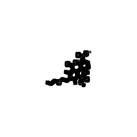 CCCOCCN1C(C)=C(C(=O)O)C(c2cccc([N+](=O)[O-])c2)=C(P(=O)(OC)OC)C1C